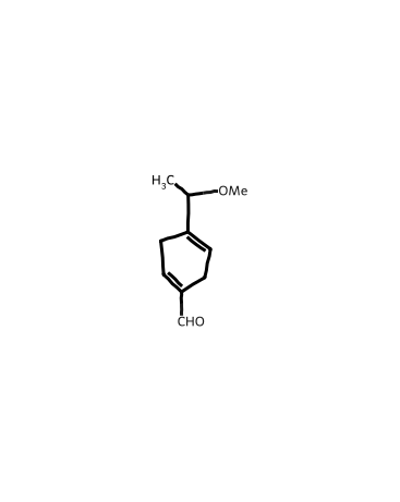 COC(C)C1=CCC(C=O)=CC1